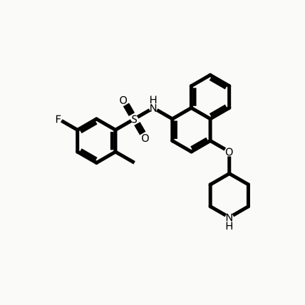 Cc1ccc(F)cc1S(=O)(=O)Nc1ccc(OC2CCNCC2)c2ccccc12